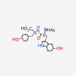 CC(=O)N[C@@H](Cc1c[nH]c2ccc(O)cc12)C(=O)N[C@@H](Cc1ccc(O)cc1)C(=O)O